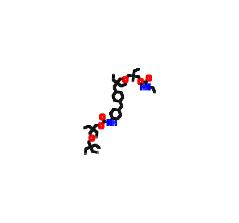 CCNC(=O)OCC(C)(CC)COCC(CC)(CC)CC1CCC(CC2CCC(NC(=O)OCC(CC)(CC)COCC(CC)(CC)CC)CC2)CC1